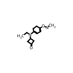 C=NOC1=CC=C(N(CC)C2CC(=O)C2)CC1